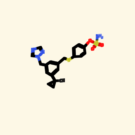 N#CC1(c2cc(CSc3ccc(OS(N)(=O)=O)cc3)cc(Cn3cncn3)c2)CC1